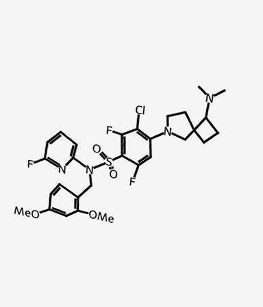 COc1ccc(CN(c2cccc(F)n2)S(=O)(=O)c2c(F)cc(N3CCC4(CCC4N(C)C)C3)c(Cl)c2F)c(OC)c1